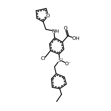 CCc1ccc(C[S+]([O-])c2cc(C(=O)O)c(NCc3ccco3)cc2Cl)cc1